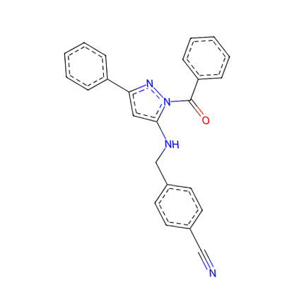 N#Cc1ccc(CNc2cc(-c3ccccc3)nn2C(=O)c2ccccc2)cc1